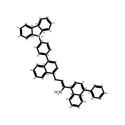 N/C(=C\Cc1ccc(-c2ccc(-n3c4ccccc4c4ccccc43)cc2)c2ccccc12)c1ccc(-c2ccccc2)c2ccccc12